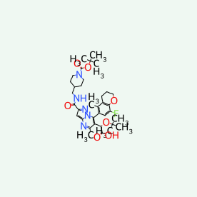 Cc1nc2cc(C(=O)NCC3CCN(C(=O)OC(C)(C)C)CC3)nn2c(-c2cc(F)c3c(c2C)CCCO3)c1[C@H](OC(C)(C)C)C(=O)O